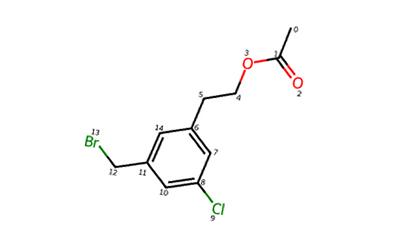 CC(=O)OCCc1cc(Cl)cc(CBr)c1